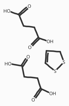 C1=CSSC1.O=C(O)CCC(=O)O.O=C(O)CCC(=O)O